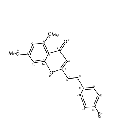 COc1cc(OC)c2c(=O)cc(/C=C/c3ccc(Br)cc3)oc2c1